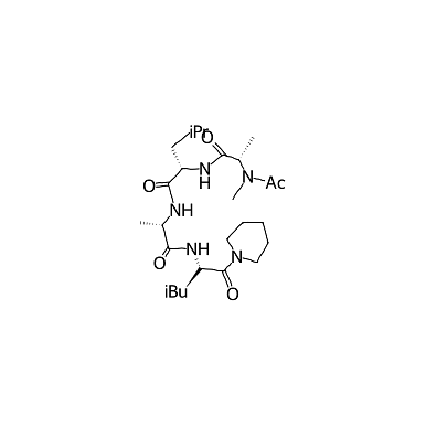 CC[C@H](C)[C@H](NC(=O)[C@H](C)NC(=O)[C@H](CC(C)C)NC(=O)[C@H](C)N(C)C(C)=O)C(=O)N1CCCCC1